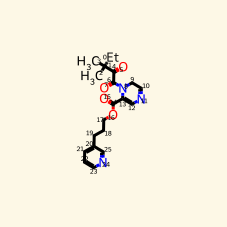 CCC(C)(C)C(=O)C(=O)N1CC=NC=C1C(=O)OCCCc1cccnc1